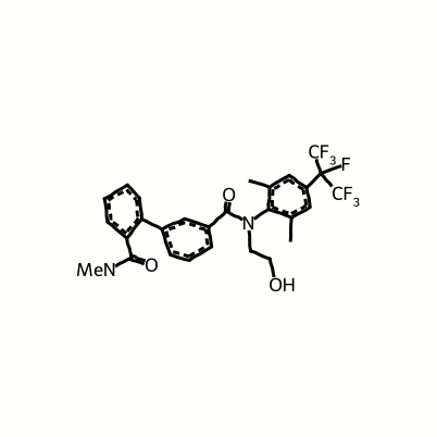 CNC(=O)c1ccccc1-c1cccc(C(=O)N(CCO)c2c(C)cc(C(F)(C(F)(F)F)C(F)(F)F)cc2C)c1